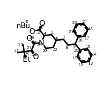 CCCCOC(=O)C1CC(CCC(c2ccccc2)c2ccccc2)CCN1C(=O)C(=O)C(C)(C)CC